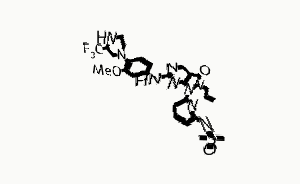 C=CCn1c(=O)c2cnc(Nc3ccc(N4CCNC(C(F)(F)F)C4)c(OC)c3)nc2n1-c1cccc(N=S(C)(C)=O)n1